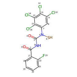 O=C(NC(=O)N(S)c1cc(Cl)c(Cl)c(Cl)c1Cl)c1ccccc1F